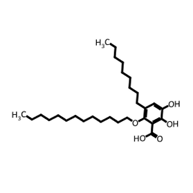 CCCCCCCCCCCCCOc1c(CCCCCCCCC)cc(O)c(O)c1C(=O)O